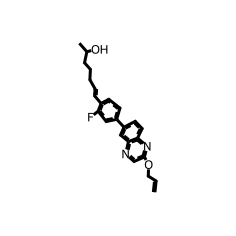 C=CCOc1cnc2cc(-c3ccc(C=CCCCC(C)O)c(F)c3)ccc2n1